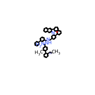 C/C=C/c1ccccc1-c1ccc(C(N)N/C(=N\Cc2ccc(-c3ccccc3)c(-n3c4ccccc4c4cc5ccccc5cc43)c2)c2cccc(-c3ccccc3)c2)cc1C